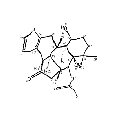 CC(=O)OC1[C@@H]2CC(=O)[C@@H]3c4ccoc4C[C@@H]([C@H]32)[C@@]2(C)[C@@H](O)CCC(C)(C)[C@]12O